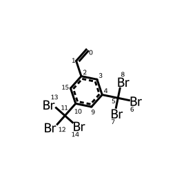 C=Cc1cc(C(Br)(Br)Br)cc(C(Br)(Br)Br)c1